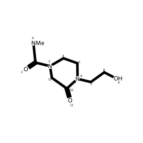 CNC(=O)N1CCN(CCO)C(=O)C1